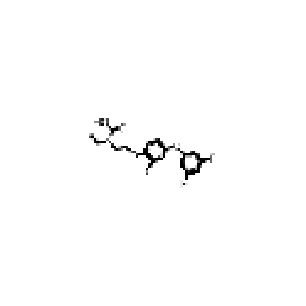 CCN(CCOc1ccc(Oc2cc(F)cc(F)c2)cc1Cl)C(=O)O